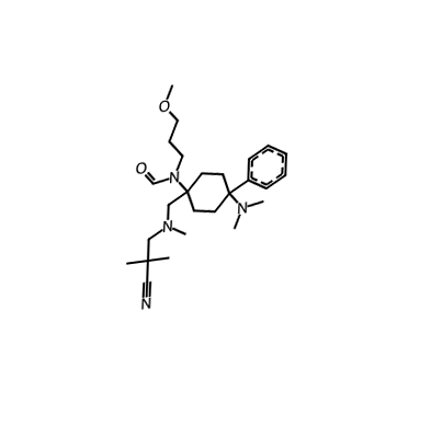 COCCCN(C=O)C1(CN(C)CC(C)(C)C#N)CCC(c2ccccc2)(N(C)C)CC1